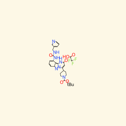 CC(C)(C)OC(=O)N1CCC(c2cc(=O)[nH]c3c4c(NC(=O)NCc5cccnc5)cccc4nn23)CC1.O=C(O)C(F)(F)F